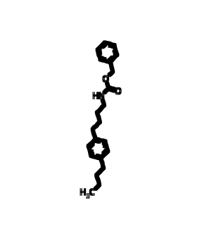 CCCCc1ccc(CCCCNC(=O)OCc2ccccc2)cc1